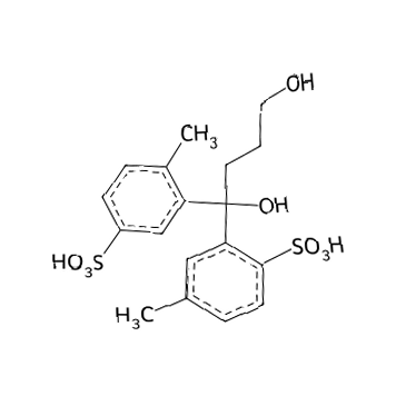 Cc1ccc(S(=O)(=O)O)c(C(O)(CCCO)c2cc(S(=O)(=O)O)ccc2C)c1